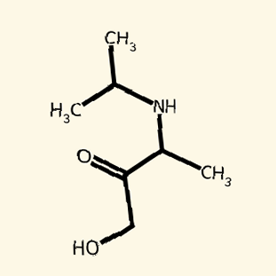 CC(C)NC(C)C(=O)CO